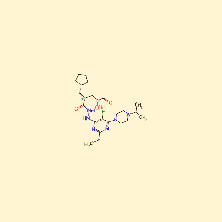 CCc1nc(NNC(=O)[C@@H](CC2CCCC2)CN(O)C=O)c(F)c(N2CCN(C(C)C)CC2)n1